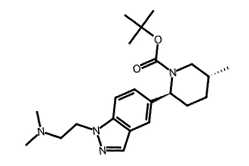 C[C@@H]1CC[C@@H](c2ccc3c(cnn3CCN(C)C)c2)N(C(=O)OC(C)(C)C)C1